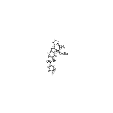 CN1CCC[C@@H]1c1cc2cnc(NC(=O)c3ccc(F)nc3)cc2n1C(=O)OC(C)(C)C